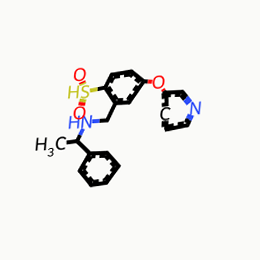 CC(NCc1cc(Oc2cccnc2)ccc1[SH](=O)=O)c1ccccc1